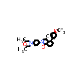 Cc1cn(-c2ccc(N3C[C@@H](C)O[C@@H](C)C3)cc2)c(=O)c2cccc(-c3ccc(OC(F)(F)F)cc3)c12